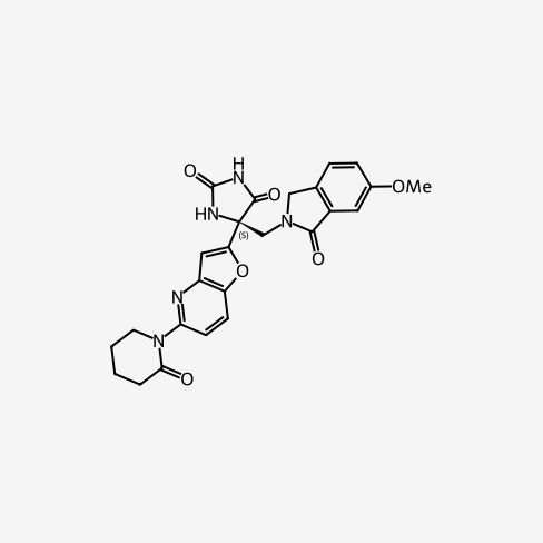 COc1ccc2c(c1)C(=O)N(C[C@@]1(c3cc4nc(N5CCCCC5=O)ccc4o3)NC(=O)NC1=O)C2